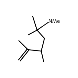 C=C(C)C(C)CC(C)(C)NC